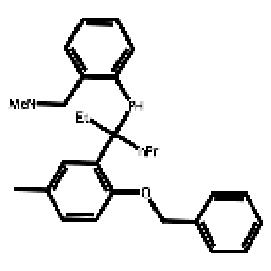 CCCC(CC)(Pc1ccccc1CNC)c1cc(C)ccc1OCc1ccccc1